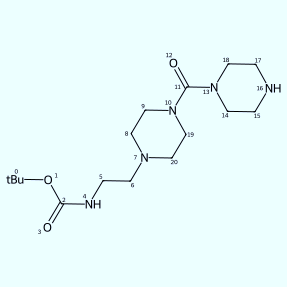 CC(C)(C)OC(=O)NCCN1CCN(C(=O)N2CCNCC2)CC1